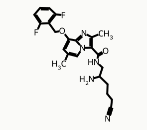 Cc1cc(OCc2c(F)cccc2F)c2nc(C)c(C(=O)NCC(N)CCCC#N)n2c1